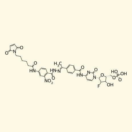 C/C(=N\NC(=O)c1ccc(NC(=O)CCCCCN2C(=O)C=CC2=O)cc1[N+](=O)[O-])c1ccc(C(=O)Nc2ccn([C@@H]3O[C@H](COP(=O)(O)O)C(O)C3F)c(=O)n2)cc1